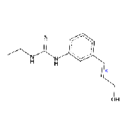 CCNC(=S)Nc1cccc(/C=C/CO)c1